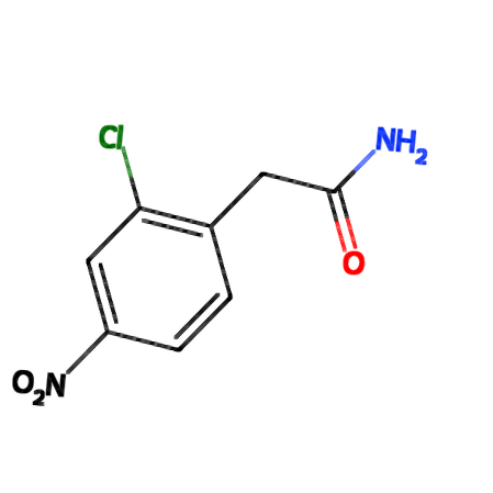 NC(=O)Cc1ccc([N+](=O)[O-])cc1Cl